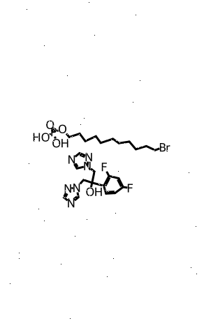 O=P(O)(O)OCCCCCCCCCCCBr.OC(Cn1cncn1)(Cn1cncn1)c1ccc(F)cc1F